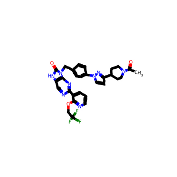 CC(=O)N1CCC(c2ccn(-c3ccc(Cn4c(=O)[nH]c5cnc(-c6cccnc6OCC(F)(F)F)nc54)cc3)n2)CC1